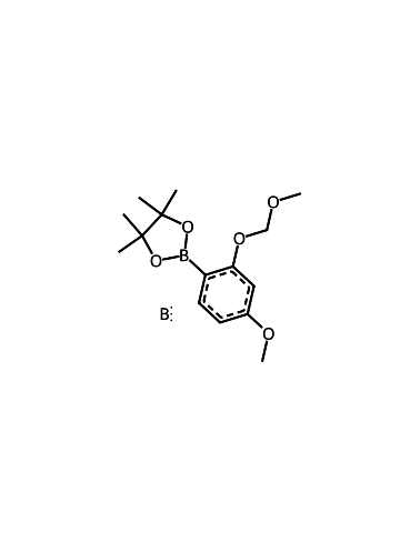 COCOc1cc(OC)ccc1B1OC(C)(C)C(C)(C)O1.[B]